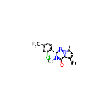 CCn1c(-c2ccc(C(F)(F)F)cc2Cl)nn2c(C)cc(C(C)C)c2c1=O